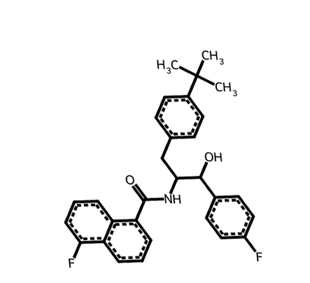 CC(C)(C)c1ccc(CC(NC(=O)c2cccc3c(F)cccc23)C(O)c2ccc(F)cc2)cc1